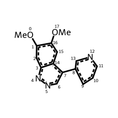 COc1cc2nncc(-c3cccnc3)c2cc1OC